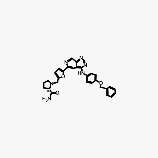 NC(=O)[C@H]1CCCN1Cc1ccc(-c2cc3c(Nc4ccc(OCc5ccccc5)cc4)ncnc3cn2)o1